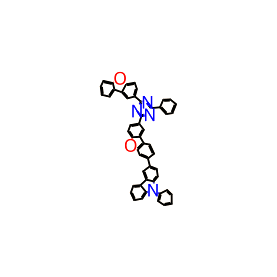 c1ccc(-c2nc(-c3ccc4oc5ccccc5c4c3)nc(-c3ccc4oc5cc(-c6ccc7c(c6)c6ccccc6n7-c6ccccc6)ccc5c4c3)n2)cc1